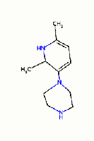 CC1=CC=C(N2CCNCC2)C(C)N1